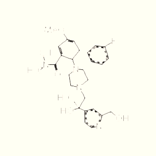 COC1=CCC(N2CCN(C[C@@](C)(O)c3ccnc(CO)c3)C[C@H]2c2ccc(F)cc2)C(C(=O)N(C)C)=C1